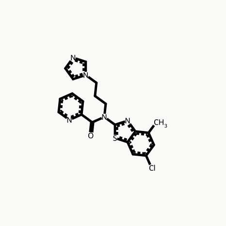 Cc1cc(Cl)cc2sc(N(CCCn3ccnc3)C(=O)c3ccccn3)nc12